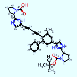 Cc1cc(-c2cnc(C3CCCN3C(=O)OC(C)(C)C)[nH]2)cc(-c2ccccc2)c1C#CC#Cc1cnc(C2CCCN2C(=O)O)[nH]1